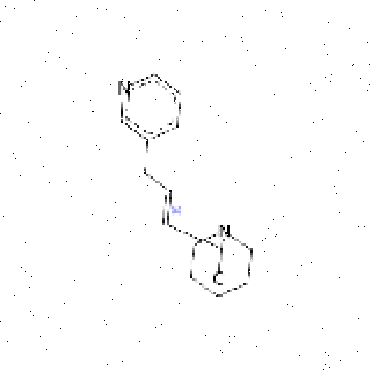 C(=C\C1CC2CCN1CC2)/Cc1cccnc1